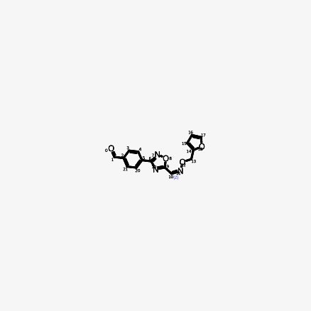 O=Cc1ccc(-c2noc(/C=N\OCc3ccco3)n2)cc1